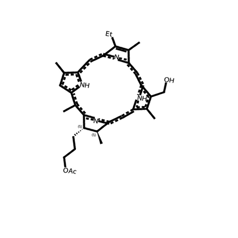 CCC1=C(C)c2cc3[nH]c(cc4nc(c(C)c5cc(C)c(cc1n2)[nH]5)[C@@H](CCCOC(C)=O)[C@@H]4C)c(C)c3CO